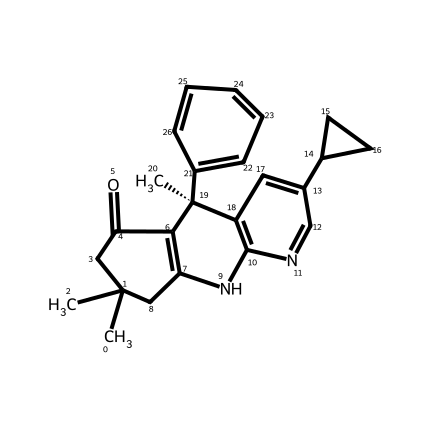 CC1(C)CC(=O)C2=C(C1)Nc1ncc(C3CC3)cc1[C@]2(C)c1ccccc1